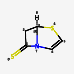 S=C1C[C@H]2SC=CN12